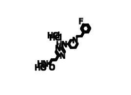 Cl.Cl.O=C(/C=C/c1cnc(N[C@@H]2CCCN(CCc3cccc(F)c3)C2)cn1)NO